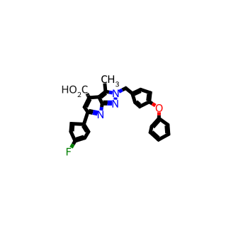 Cc1c2c(C(=O)O)cc(-c3ccc(F)cc3)nc2nn1Cc1ccc(Oc2ccccc2)cc1